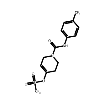 O=C(Nc1ccc(C(F)(F)F)cc1)N1CC=C(OS(=O)(=O)C(F)(F)F)CC1